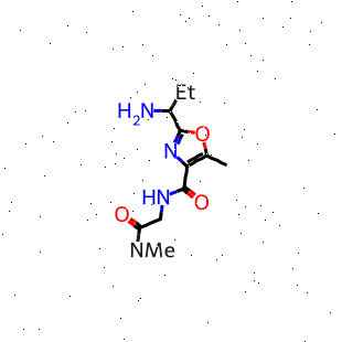 CCC(N)c1nc(C(=O)NCC(=O)NC)c(C)o1